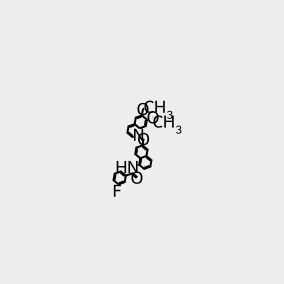 COC1=CC2=CC=CN(Oc3ccc4c(NC(=O)c5cccc(F)c5)cccc4c3)C2C=C1OC